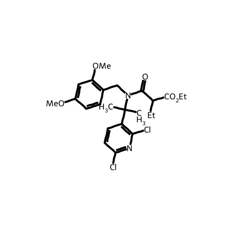 CCOC(=O)C(CC)C(=O)N(Cc1ccc(OC)cc1OC)C(C)(C)c1ccc(Cl)nc1Cl